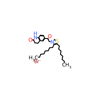 CCCCCCCCc1sc[n+](CC(=O)c2ccc3c(c2)CCC(=O)N3)c1CCCCCCCC.[Br-]